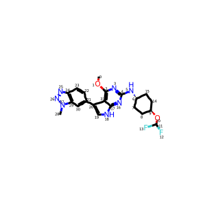 COc1nc(N[C@H]2CC[C@H](OC(F)F)CC2)nc2[nH]cc(-c3ccc4nnn(C)c4c3)c12